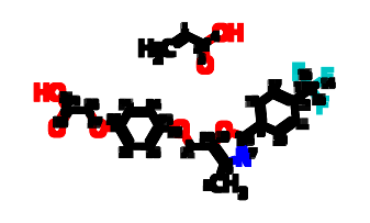 C=CC(=O)O.Cc1nc(-c2ccc(C(F)(F)F)cc2)oc1COc1ccc(OCC(=O)O)cc1